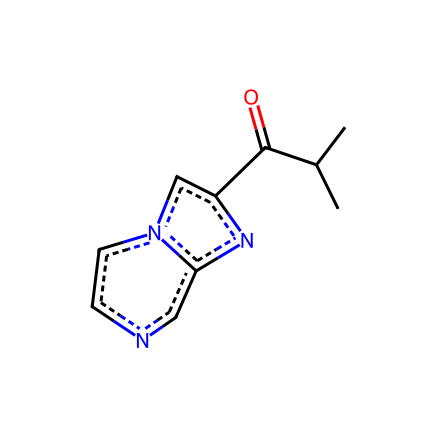 CC(C)C(=O)c1cn2ccncc2n1